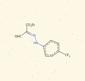 CCOC(=O)C(C=O)=NNc1ccc(C(F)(F)F)cc1